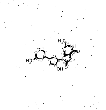 CC[C@H](OC(C)=O)[C@@H]1C[C@@H](O)[C@H](n2c(=O)sc3c(=O)[nH]c(C)nc32)O1